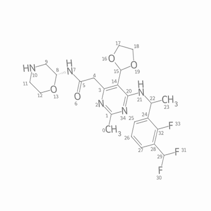 Cc1nc(CC(=O)N[C@H]2CNCCO2)c(C2OCCO2)c(NC(C)c2cccc(C(F)F)c2F)n1